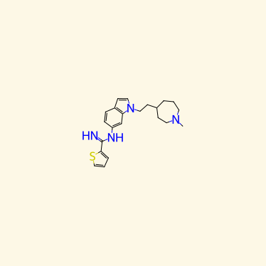 CN1CCCC(CCn2ccc3ccc(NC(=N)c4cccs4)cc32)CC1